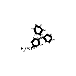 FC(F)(F)Oc1ccc([S+](c2ccccc2)c2ccccc2)cc1